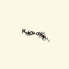 Cc1ncc(CC(=O)N[C@H]2CC[C@H](CCN3CCc4nc(OCCC(F)(F)F)sc4CC3)CC2)s1